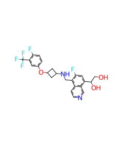 OCC(O)c1cc(F)c(CNC2CC(Oc3ccc(F)c(C(F)(F)F)c3)C2)c2ccncc12